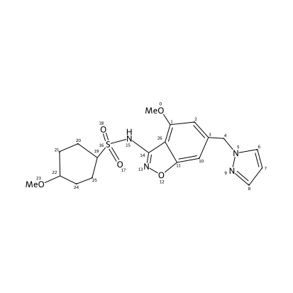 COc1cc(Cn2cccn2)cc2onc(NS(=O)(=O)C3CCC(OC)CC3)c12